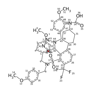 COc1ccc(CN(Cc2ccc(OC)cc2)S(=O)(=O)c2c(C(F)(F)F)ccc(C3CCC(NC(=O)O)CC3)c2-c2nnnn2Cc2ccc(OC)cc2)cc1